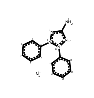 Nc1nn(-c2ccccc2)[n+](-c2ccccc2)n1.[Cl-]